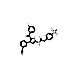 CS(=O)(=O)c1ccc(CC(=O)Nc2cc(-c3cccc(C#N)c3)c(C(=O)c3cccc(F)c3)s2)cc1